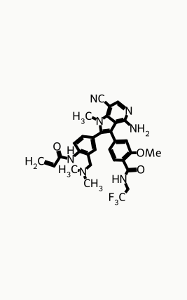 C=CC(=O)Nc1ccc(-c2c(-c3ccc(C(=O)NCC(F)(F)F)c(OC)c3)c3c(N)ncc(C#N)c3n2C)cc1CN(C)C